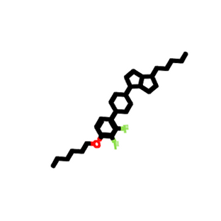 CCCCCCOc1ccc(C2CCC(C3CCC4C(CCCCC)CCC34)CC2)c(F)c1F